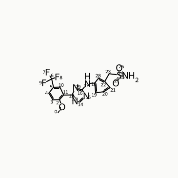 COc1ccc(C(F)(F)F)cc1-c1ncnc(Nc2cccc(CS(N)(=O)=O)c2)n1